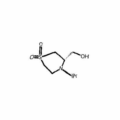 CC(C)N1CCS(=O)(=O)C[C@@H]1CO